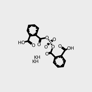 O=C(O)c1ccccc1C(=O)OS(=O)(=O)OC(=O)c1ccccc1C(=O)O.[KH].[KH]